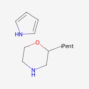 CCCC(C)C1CNCCO1.c1cc[nH]c1